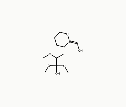 COC(C)C(O)(OC)OC.ON=[Si]1CCCCO1